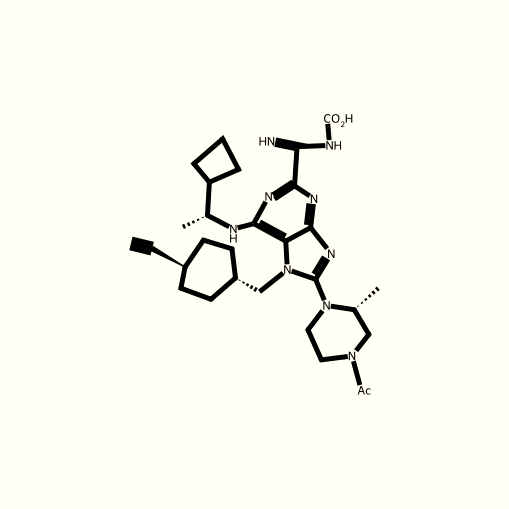 C#C[C@H]1CC[C@H](Cn2c(N3CCN(C(C)=O)C[C@H]3C)nc3nc(C(=N)NC(=O)O)nc(N[C@H](C)C4CCC4)c32)CC1